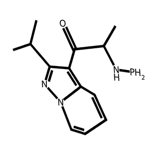 CC(NP)C(=O)c1c(C(C)C)nn2ccccc12